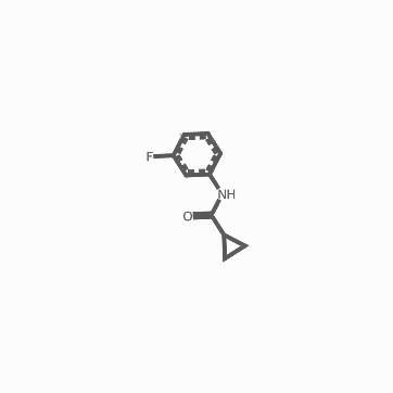 O=C(Nc1cc[c]c(F)c1)C1CC1